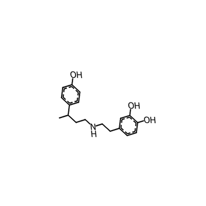 CC(CCNCCc1ccc(O)c(O)c1)c1ccc(O)cc1